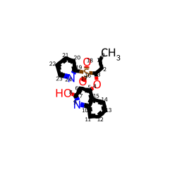 CCCC(Oc1cc(O)nc2ccccc12)S(=O)(=O)c1ccccn1